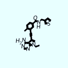 CCn1cc(C#Cc2cc(C(=O)NCc3ccsc3)ccc2C)c2c(N)ncnc21